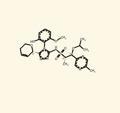 COc1cccc(O)c1-n1c(NS(=O)(=O)[C@@H](C)[C@@H](OC(C)C)c2cnc(C)cn2)nnc1[C@@H]1C=CCCO1